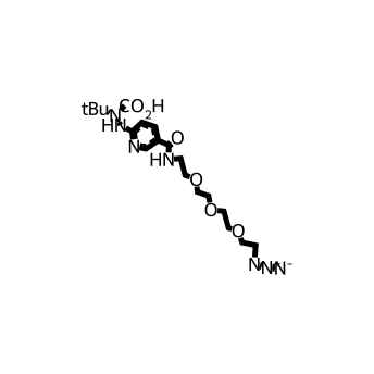 CC(C)(C)N(Nc1ccc(C(=O)NCCOCCOCCOCCN=[N+]=[N-])cn1)C(=O)O